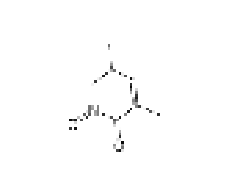 CC(=CC(C)C)C(=O)N=O